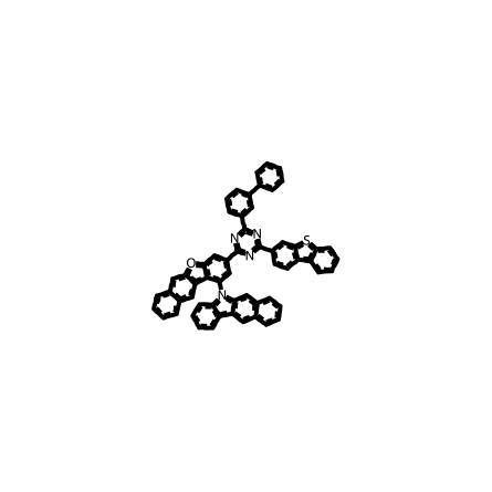 c1ccc(-c2cccc(-c3nc(-c4cc(-n5c6ccccc6c6cc7ccccc7cc65)c5c(c4)oc4cc6ccccc6cc45)nc(-c4ccc5c(c4)sc4ccccc45)n3)c2)cc1